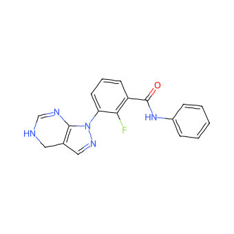 O=C(Nc1ccccc1)c1cccc(-n2ncc3c2N=CNC3)c1F